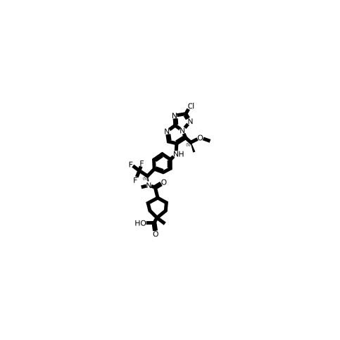 CO[C@@H](C)c1c(Nc2ccc([C@H](N(C)C(=O)C3CCC(C)(C(=O)O)CC3)C(F)(F)F)cc2)cnc2nc(Cl)nn12